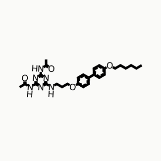 CCCCCCOc1ccc(-c2ccc(OCCCNc3nc(NC(C)=O)nc(NC(C)=O)n3)cc2)cc1